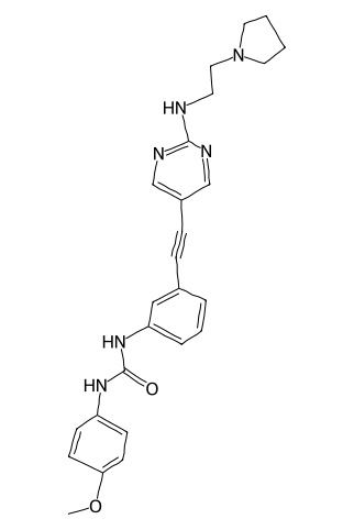 COc1ccc(NC(=O)Nc2cccc(C#Cc3cnc(NCCN4CCCC4)nc3)c2)cc1